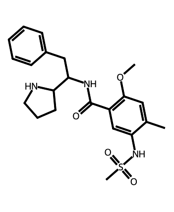 COc1cc(C)c(NS(C)(=O)=O)cc1C(=O)NC(Cc1ccccc1)C1CCCN1